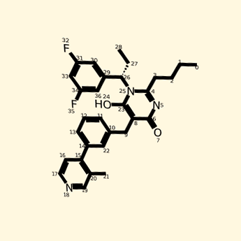 CCCCc1nc(=O)c(Cc2cccc(-c3ccncc3C)c2)c(O)n1[C@@H](CC)c1cc(F)cc(F)c1